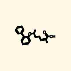 CC(=CCCC(C)Oc1ccccc1-c1ccccc1)C(=O)O